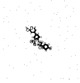 CCC(CC(=O)OC)c1ccc(N2CC(O)(c3ccc(F)cc3)C2)c([N+](=O)[O-])c1